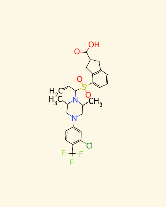 C=CC(N1C(C)CN(c2ccc(C(F)(F)F)c(Cl)c2)CC1C)S(=O)(=O)c1cccc2c1CC(C(=O)O)C2